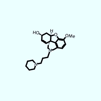 COc1ccc2c3c1O[C@@H]1C[C@H](O)C=C[C@]31CCN(CCCN1CCCCC1)C2